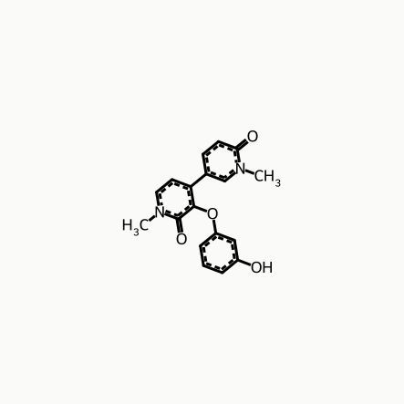 Cn1cc(-c2ccn(C)c(=O)c2Oc2cccc(O)c2)ccc1=O